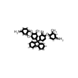 CCc1cc(C2(c3ccc(Oc4ccc(N)cc4C)c(CC)c3)c3ccccc3-c3ccccc32)ccc1Oc1ccc(N)cc1C